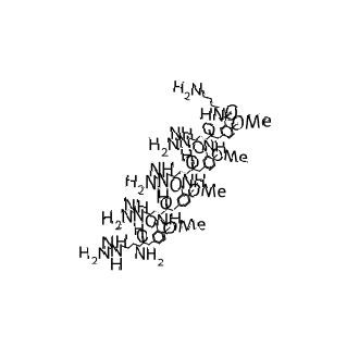 COc1ccc(CC(=O)[C@@H](CCCNC(=N)N)NC(=O)c2cc(CC(=O)[C@@H](CCCNC(=N)N)NC(=O)c3cc(CC(=O)[C@@H](CCCNC(=N)N)NC(=O)c4cc(CC(=O)[C@H](N)CCCNC(=N)N)ccc4OC)ccc3OC)ccc2OC)cc1C(=O)NCCCCCN